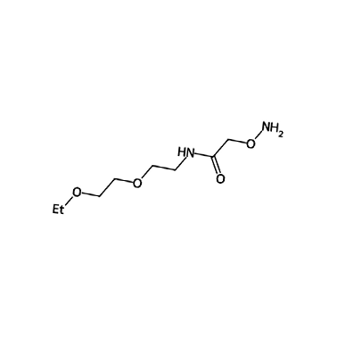 [CH2]COCCOCCNC(=O)CON